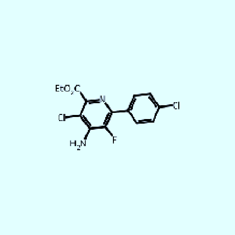 CCOC(=O)c1nc(-c2ccc(Cl)cc2)c(F)c(N)c1Cl